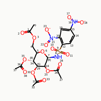 CC(=O)OCC1O[C@@H](NS(=O)(=O)c2ccc([N+](=O)[O-])cc2[N+](=O)[O-])C(OC(C)=O)[C@@H](OC(C)=O)[C@@H]1OC(C)=O